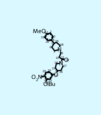 COc1ccc(C2CCN(CCC(=O)N3CCC(Oc4ccc([N+](=O)[O-])c(OCC(C)C)c4)CC3)CC2)cc1